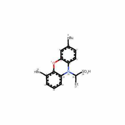 CCCCc1ccc2c(c1)Oc1c(CCCC)cccc1N2C(CC)S(=O)(=O)O